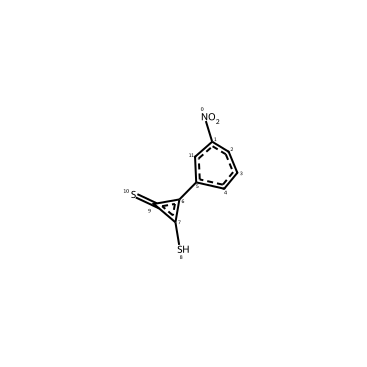 O=[N+]([O-])c1cccc(-c2c(S)c2=S)c1